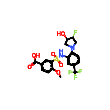 COc1ccc(C(=O)O)cc1S(=O)(=O)Nc1cc(C(F)(F)F)ccc1N1C[C@@H](O)[C@H](F)C1